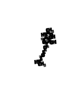 CNCCOCCOC[C@H]1OC[C@@H](NC(C)=O)[C@@H](O)[C@H]1O